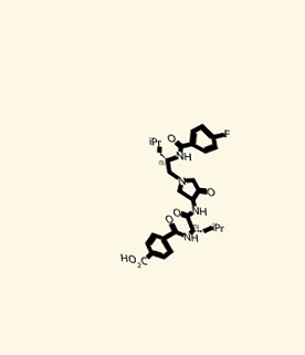 CC(C)C[C@@H](CN1CC(=O)C(NC(=O)[C@H](CC(C)C)NC(=O)c2ccc(C(=O)O)cc2)C1)NC(=O)c1ccc(F)cc1